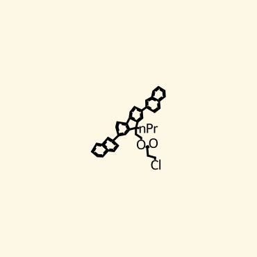 CCCC1(CCOC(=O)CCCl)c2cc(-c3ccc4ccccc4c3)ccc2-c2ccc(-c3ccc4ccccc4c3)cc21